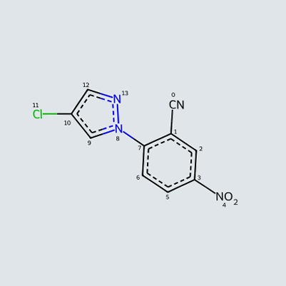 N#Cc1cc([N+](=O)[O-])ccc1-n1cc(Cl)cn1